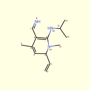 C=CC1C=C(C)C(C=N)=C(NC(C)C)N1C